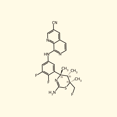 C[C@@H]1[C@@](C)(CF)SC(N)=N[C@]1(C)c1cc(Nc2nccc3cc(C#N)cnc23)cc(F)c1F